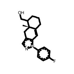 C[C@]12Cc3cnn(-c4ccc(F)cc4)c3C=C1CCCC2CO